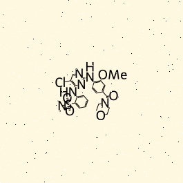 COc1cc(C(=O)N2CCOCC2)ccc1Nc1ncc(Cl)c(Nc2ccccc2S(=O)(=O)N(C)C)n1